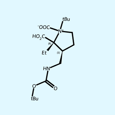 CC[C@]1(C(=O)O)[C@H](CNC(=O)OC(C)(C)C)CC[N+]1(C(=O)[O-])C(C)(C)C